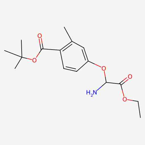 CCOC(=O)C(N)Oc1ccc(C(=O)OC(C)(C)C)c(C)c1